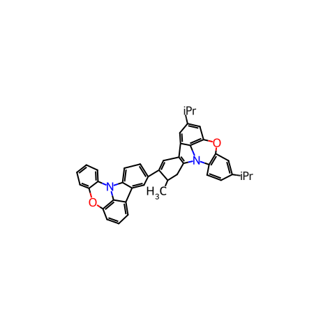 CC1Cc2c(c3cc(C(C)C)cc4c3n2-c2ccc(C(C)C)cc2O4)C=C1c1ccc2c(c1)c1cccc3c1n2-c1ccccc1O3